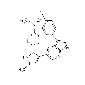 CN1C=C(c2ccc3ncc(-c4ccc(F)cc4)n3c2)C(c2ccc([S+](C)[O-])cc2)N1